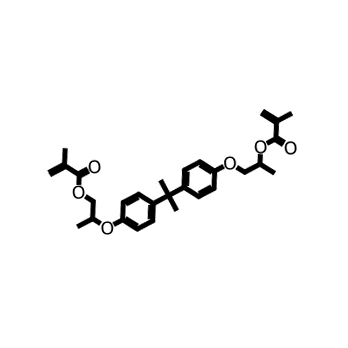 C=C(C)C(=O)OCC(C)Oc1ccc(C(C)(C)c2ccc(OCC(C)OC(=O)C(=C)C)cc2)cc1